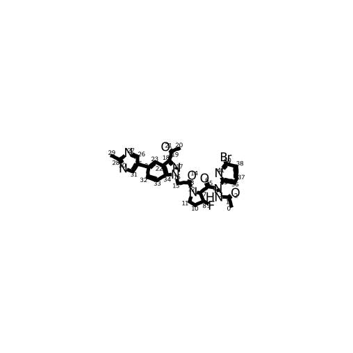 CC(=O)NN(C(=O)C1C(F)CCN1C(=O)Cn1nc(C(C)=O)c2cc(-c3cnc(C)nc3)ccc21)c1cccc(Br)n1